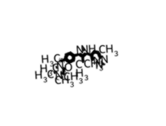 CCN(C)[C@@H](C)C(=O)N(C)[C@@H](C)c1ccc(-c2n[nH]c(-c3cc(C)c4ncnn4c3)c2C(C)C)cc1